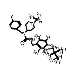 [2H]c1c([2H])c(OC([2H])([2H])C([2H])(C([2H])([2H])[2H])C([2H])([2H])[2H])c([2H])c([2H])c1CNC(=O)N(Cc1ccc(F)cc1)C1CCN(C([2H])([2H])[2H])CC1